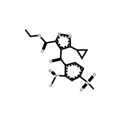 CCOC(=O)c1noc(C2CC2)c1C(=O)c1ccc(S(C)(=O)=O)cc1[N+](=O)[O-]